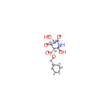 O=C(OCc1ccccc1)c1c(O)[nH]c(=O)n(O)c1=O